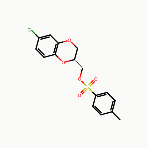 Cc1ccc(S(=O)(=O)OC[C@H]2COc3cc(Cl)ccc3O2)cc1